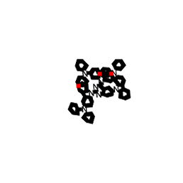 c1ccc(N(c2ccccc2)c2ccc3c(c2)c2ccccc2n3-c2nc(-n3c4ccccc4c4ccc(N(c5ccccc5)c5ccccc5)cc43)c3cc(-n4c5ccccc5c5ccc(N(c6ccccc6)c6ccccc6)cc54)ccc3n2)cc1